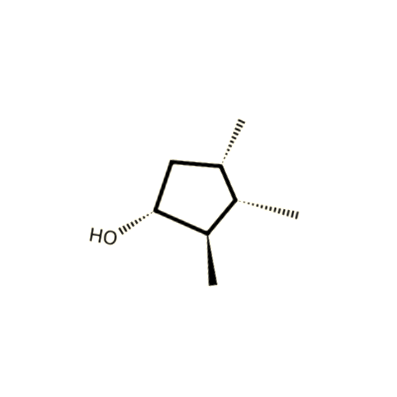 C[C@@H]1[C@@H](C)[C@@H](C)C[C@H]1O